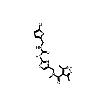 Cc1n[nH]c(C)c1C(=O)N(C)Cc1csc(NC(=O)NCc2ccc(Cl)s2)n1